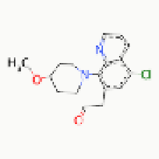 COC1CCN(c2c(CC=O)cc(Cl)c3cccnc23)CC1